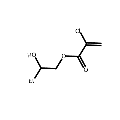 C=C(Cl)C(=O)OCC(O)CC